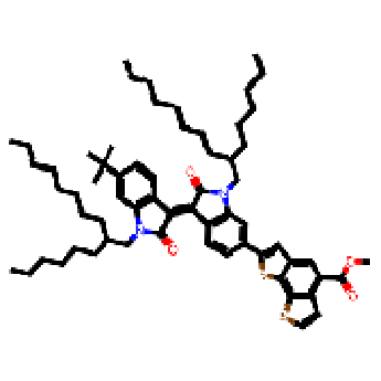 CCCCCCCCC(CCCCCC)CN1C(=O)/C(=C2/C(=O)N(CC(CCCCCC)CCCCCCCC)c3cc(C(C)(C)C)ccc32)c2ccc(-c3cc4cc(C(=O)OC)c5ccsc5c4s3)cc21